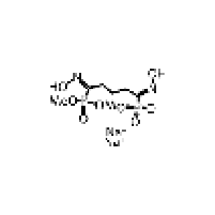 COP(=O)(OC)/C(CCC/C(=N\O)P(=O)([O-])[O-])=N\O.[Na+].[Na+]